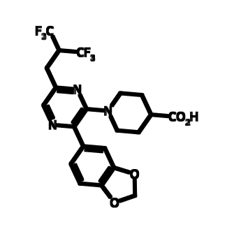 O=C(O)C1CCN(c2nc(CC(C(F)(F)F)C(F)(F)F)cnc2-c2ccc3c(c2)OCO3)CC1